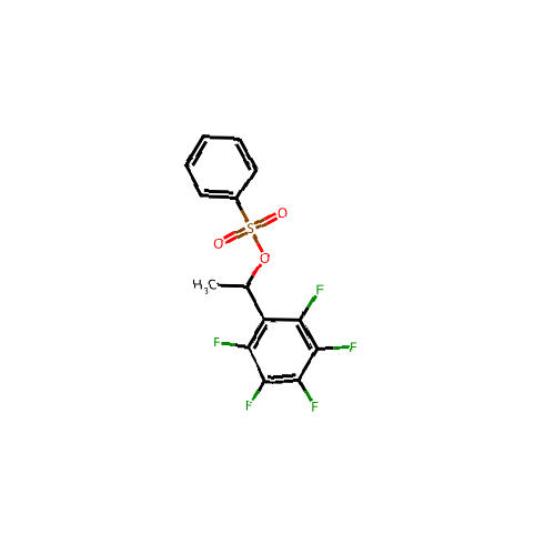 CC(OS(=O)(=O)c1ccccc1)c1c(F)c(F)c(F)c(F)c1F